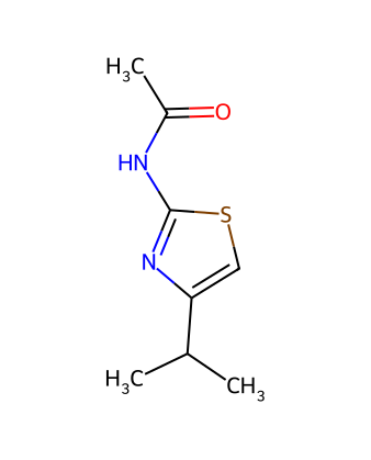 CC(=O)Nc1nc(C(C)C)cs1